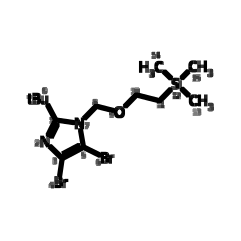 CC(C)(C)c1nc(Br)c(Br)n1COCC[Si](C)(C)C